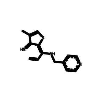 C=C/C(NCc1ccncc1)=C1/SC=C(C)C1=N